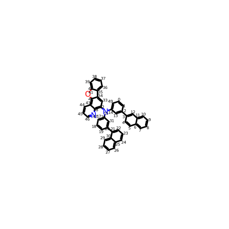 c1cc(-c2ccc3ccccc3c2)cc(N(c2cccc(-c3cccc4ccccc34)c2)c2cc3c4ccccc4oc3c3cccnc23)c1